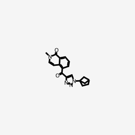 Cn1ccc2c(C(=O)c3cn(C45CCC(C4)C5)nn3)cccc2c1=O